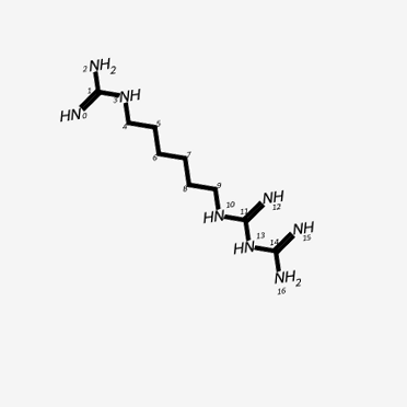 N=C(N)NCCCCCCNC(=N)NC(=N)N